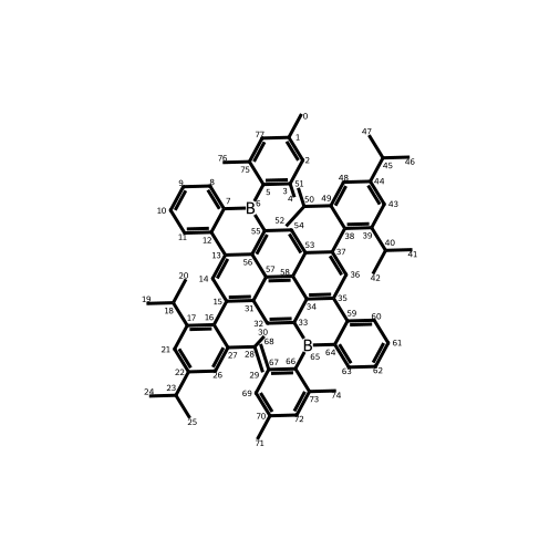 Cc1cc(C)c(B2c3ccccc3-c3cc(-c4c(C(C)C)cc(C(C)C)cc4C(C)C)c4cc5c6c(cc(-c7c(C(C)C)cc(C(C)C)cc7C(C)C)c7cc2c3c4c76)-c2ccccc2B5c2c(C)cc(C)cc2C)c(C)c1